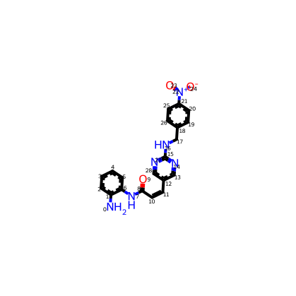 Nc1ccccc1NC(=O)/C=C\c1cnc(NCc2ccc([N+](=O)[O-])cc2)nc1